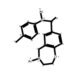 CC(=O)N1CCOc2ccc(C(C)N(C(C)=O)c3ccc(C)cc3)cc2C1